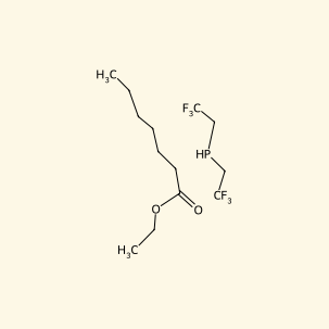 CCCCCCC(=O)OCC.FC(F)(F)CPCC(F)(F)F